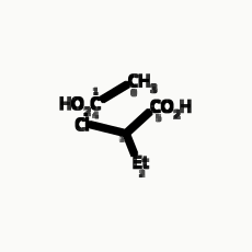 CC(=O)O.CCC(Cl)C(=O)O